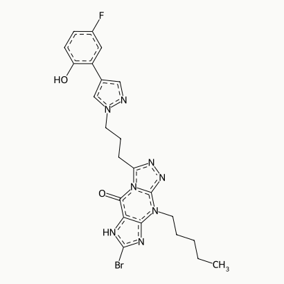 CCCCCn1c2nc(Br)[nH]c2c(=O)n2c(CCCn3cc(-c4cc(F)ccc4O)cn3)nnc12